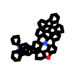 c1ccc(-c2ccc(N(c3ccc4c(c3)-c3ccccc3C43c4ccccc4-c4ccccc43)c3c(-c4ccccc4)ccc4oc5ccc(-c6ccc7c(c6)c6ccccc6n7-c6ccccc6)cc5c34)c(-c3ccccc3)c2)cc1